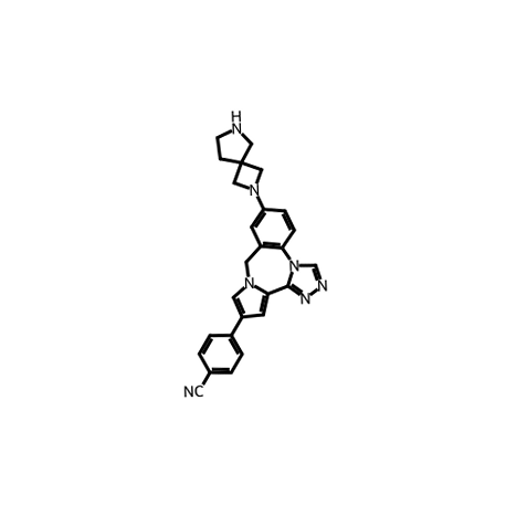 N#Cc1ccc(-c2cc3n(c2)Cc2cc(N4CC5(CCNC5)C4)ccc2-n2cnnc2-3)cc1